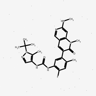 CNc1cc2c(cn1)cc(-c1cc(NC(=O)Nc3cnn(C(C)(C)C)c3C)c(F)cc1C)c(=O)n2C